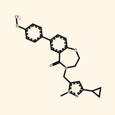 Cn1nc(C2CC2)cc1CN1CCOc2ccc(-c3ccc(OC(F)(F)F)cc3)cc2C1=O